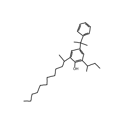 CCCCCCCCCCC(C)c1cc(C(C)(C)c2ccccc2)cc(C(C)CC)c1O